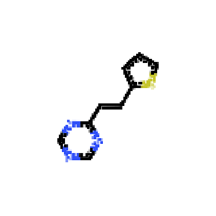 C(=C\c1cccs1)/c1ncncn1